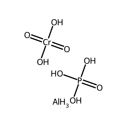 O=P(O)(O)O.[AlH3].[O]=[Cr](=[O])([OH])[OH]